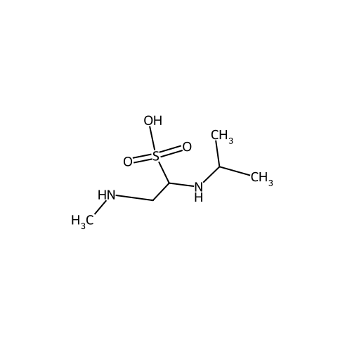 CNCC(NC(C)C)S(=O)(=O)O